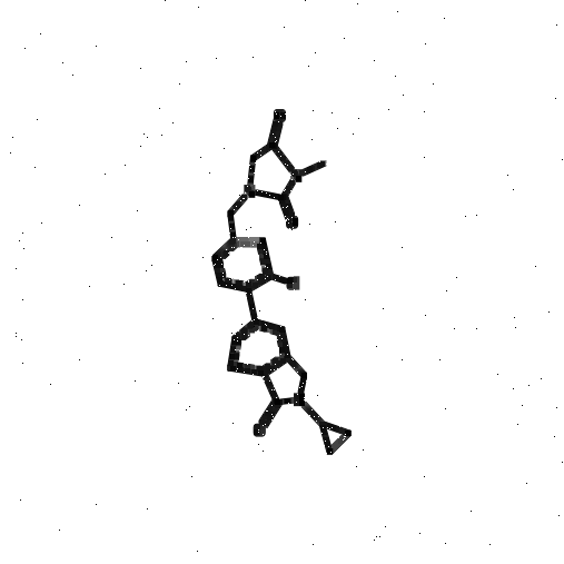 CN1C(=O)CN(Cc2ccc(-c3ccc4c(c3)CN(C3CC3)C4=O)c(Cl)c2)C1=O